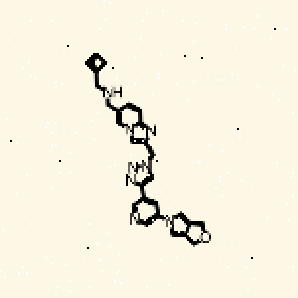 c1cc2nc(Cn3cc(-c4cncc(-n5cc6c(c5)COC6)c4)nn3)cn2cc1CNCC12CC(C1)C2